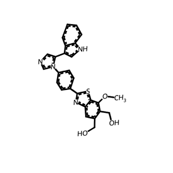 COc1c(CO)c(CO)cc2nc(-c3ccc(-n4cncc4-c4c[nH]c5ccccc45)cc3)sc12